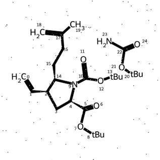 C=C[C@@H]1C[C@H](C(=O)OC(C)(C)C)N(C(=O)OC(C)(C)C)[C@@H]1CCC(=C)C.CC(C)(C)OC(N)=O